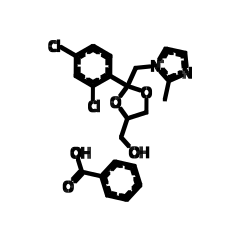 Cc1nccn1CC1(c2ccc(Cl)cc2Cl)OCC(CO)O1.O=C(O)c1ccccc1